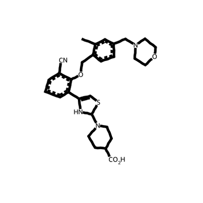 Cc1cc(CN2CCOCC2)ccc1COc1c(C#N)cccc1C1=CSC(N2CCC(C(=O)O)CC2)N1